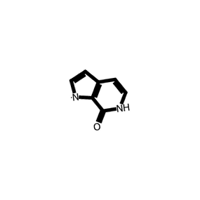 O=c1[nH]ccc2c1[N]C=C2